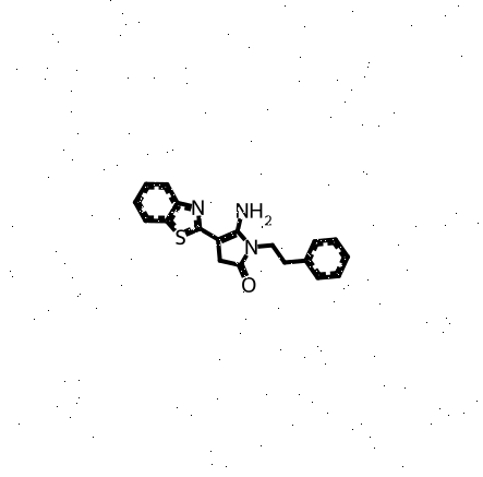 NC1=C(c2nc3ccccc3s2)CC(=O)N1CCc1ccccc1